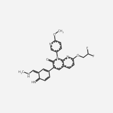 CN/C=C1/C=C(c2cc3ccc(OCC(F)F)nc3n(-c3ccc(OC)nc3)c2=O)C=CC1=N